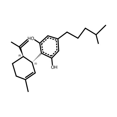 C=C(C)[C@@H]1CCC(C)=C[C@H]1c1c(O)cc(CCCC(C)C)cc1O